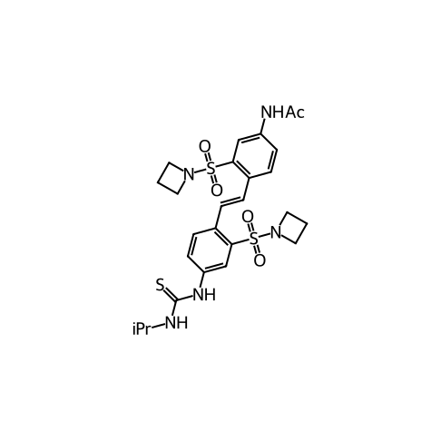 CC(=O)Nc1ccc(C=Cc2ccc(NC(=S)NC(C)C)cc2S(=O)(=O)N2CCC2)c(S(=O)(=O)N2CCC2)c1